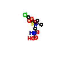 Cc1c(S(=O)(=O)c2ccc(Cl)cc2)csc1C(=O)N(Cc1ccc(C(=O)NCCC(=O)O)cc1)CC(c1ccccc1)c1ccccc1